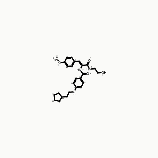 O=C(NCCO)C(=Cc1ccc(OC(F)(F)F)cc1)NC(=O)c1ccc(OCCC2CCCC2)cc1